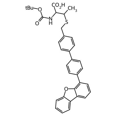 CC(SCc1ccc(-c2ccc(-c3cccc4c3oc3ccccc34)cc2)cc1)C(NC(=O)OC(C)(C)C)C(=O)O